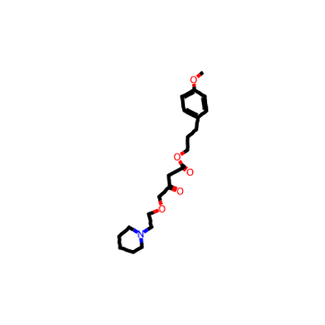 COc1ccc(CCCOC(=O)CC(=O)COCCN2CCCCC2)cc1